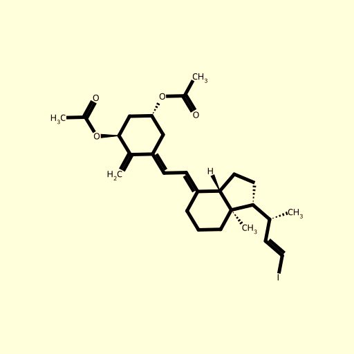 C=C1/C(=C/C=C2\CCC[C@]3(C)[C@@H]([C@H](C)/C=C/I)CC[C@@H]23)C[C@@H](OC(C)=O)C[C@@H]1OC(C)=O